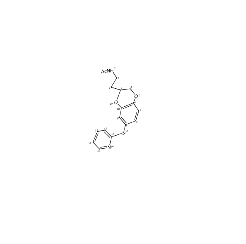 CC(=O)NCCC1COc2ccc(Sc3ccccn3)cc2O1